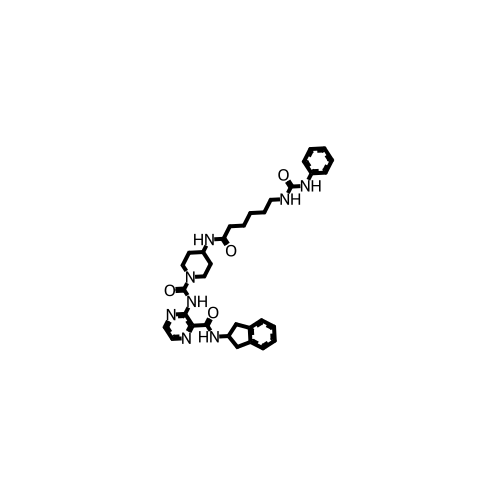 O=C(CCCCCNC(=O)Nc1ccccc1)NC1CCN(C(=O)Nc2nccnc2C(=O)NC2Cc3ccccc3C2)CC1